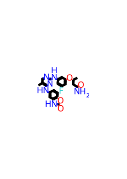 Cc1cnc(Nc2cc(F)cc(OC(C)CC(N)=O)c2)nc1Nc1ccc2oc(=O)[nH]c2c1